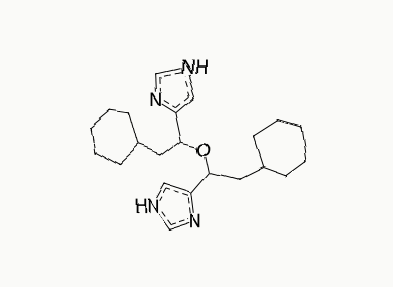 c1nc(C(CC2CCCCC2)OC(CC2CCCCC2)c2c[nH]cn2)c[nH]1